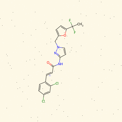 CC(F)(F)c1ccc(Cn2ccc(NC(=O)/C=C/c3ccc(Cl)cc3Cl)n2)o1